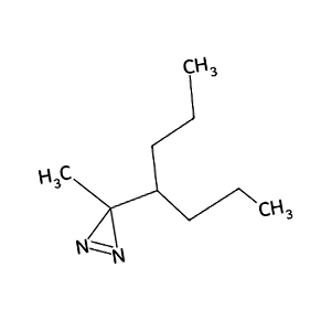 CCCC(CCC)C1(C)N=N1